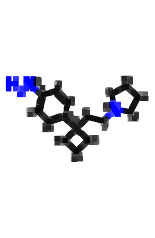 Nc1ccc(C2(CCN3CCCC3)CCC2)cc1